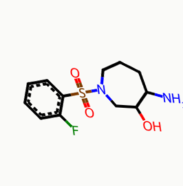 NC1CCCN(S(=O)(=O)c2ccccc2F)CC1O